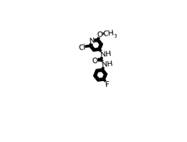 COc1cc(NC(=O)Nc2cccc(F)c2)cc(Cl)n1